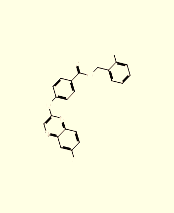 O=C(OCc1ccccc1F)c1ccc(Oc2cnc3cc(Cl)ccc3n2)cc1